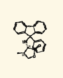 C[C@@H]1COC(=O)[C@H]1NC1(c2ccccc2)c2ccccc2-c2ccccc21